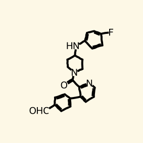 O=Cc1ccc(-c2cccnc2C(=O)N2CCC(Nc3ccc(F)cc3)CC2)cc1